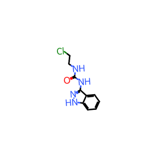 O=C(NCCCl)Nc1n[nH]c2ccccc12